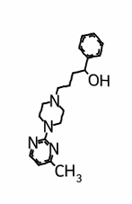 Cc1ccnc(N2CCN(CCCC(O)c3ccccc3)CC2)n1